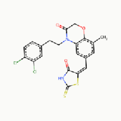 Cc1cc(C=C2SC(=S)NC2=O)cc2c1OCC(=O)N2CCc1ccc(Cl)c(Cl)c1